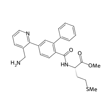 COC(=O)[C@H](CCSC)NC(=O)c1ccc(-c2ncccc2CN)cc1-c1ccccc1